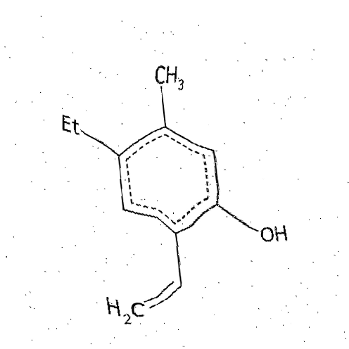 C=Cc1cc(CC)c(C)cc1O